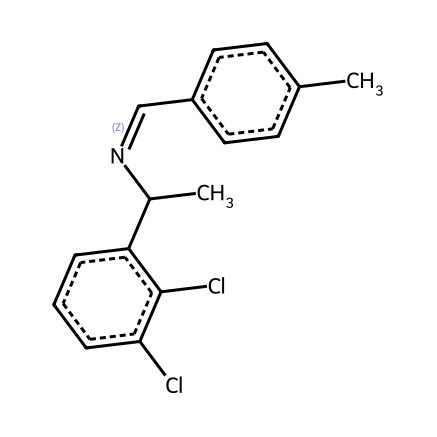 Cc1ccc(/C=N\C(C)c2cccc(Cl)c2Cl)cc1